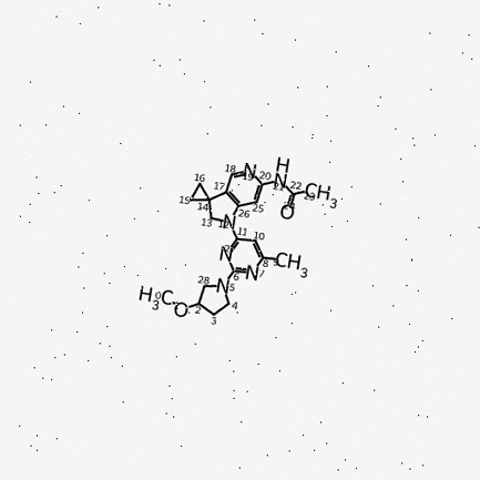 COC1CCN(c2nc(C)cc(N3CC4(CC4)c4cnc(NC(C)=O)cc43)n2)C1